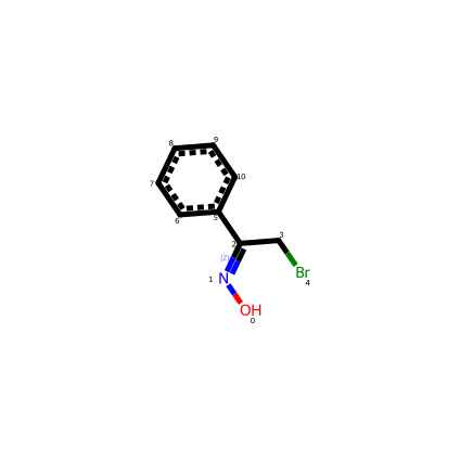 O/N=C(\CBr)c1ccccc1